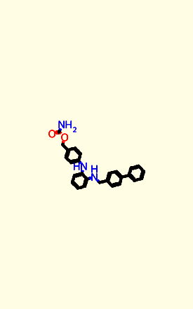 NC(=O)OCc1ccc(Nc2ccccc2NCc2ccc(-c3ccccc3)cc2)cc1